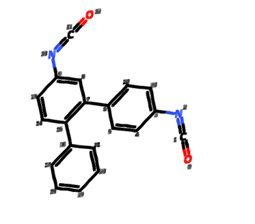 O=C=Nc1ccc(-c2cc(N=C=O)ccc2-c2ccccc2)cc1